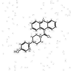 O=C(c1c2ccccc2nc2ccccc12)N1CCN(c2ccc(O)cn2)CC1